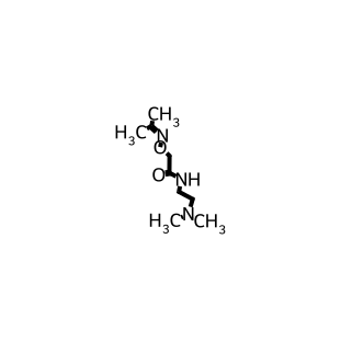 CC(C)=NOCC(=O)NCCN(C)C